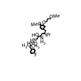 COCCCOc1cc(C[C@@H](C[C@H](N)[C@@H](O)CNC(=O)NC(C)(C)Cc2ccc(F)cc2)C(C)C)ccc1OC